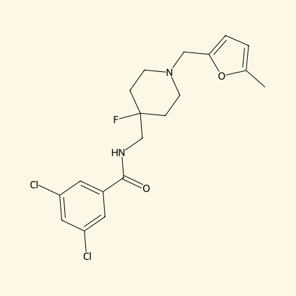 Cc1ccc(CN2CCC(F)(CNC(=O)c3cc(Cl)cc(Cl)c3)CC2)o1